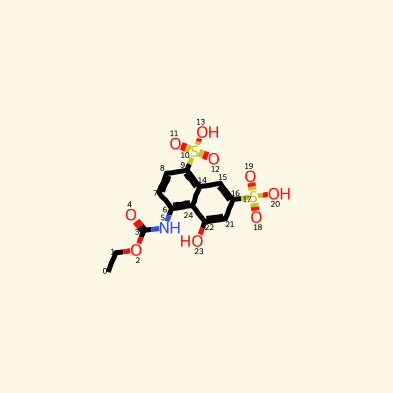 CCOC(=O)Nc1ccc(S(=O)(=O)O)c2cc(S(=O)(=O)O)cc(O)c12